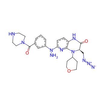 [N-]=[N+]=NC[C@@H]1C(=O)Nc2ccc(N(N)c3cccc(C(=O)N4CCNCC4)c3)nc2N1C1CCOCC1